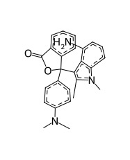 Cc1c(C2(c3ccc(N(C)C)cc3)OC(=O)c3ccccc32)c2c(N)cccc2n1C